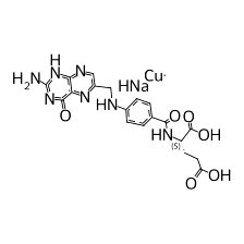 Nc1nc(=O)c2nc(CNc3ccc(C(=O)N[C@@H](CCC(=O)O)C(=O)O)cc3)cnc2[nH]1.[Cu].[NaH]